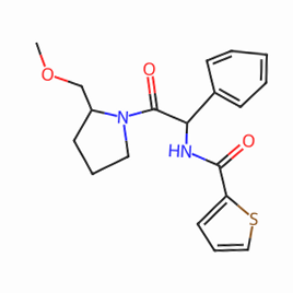 COCC1CCCN1C(=O)C(NC(=O)c1cccs1)c1ccccc1